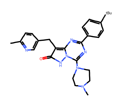 Cc1ccc(Cc2c(=O)[nH]n3c(N4CCN(C)CC4)nc(-c4ccc(C(C)(C)C)cc4)nc23)cn1